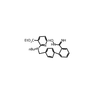 CCCCN(Cc1ccc(-c2ccccc2C(=N)NO)cc1)c1ncccc1C(=O)OCC